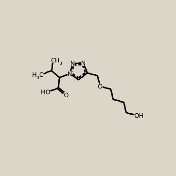 CC(C)C(C(=O)O)n1cc(COCCCCO)nn1